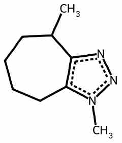 CC1CCCCc2c1nnn2C